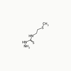 CSCCNC(=S)NN